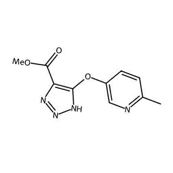 COC(=O)c1nn[nH]c1Oc1ccc(C)nc1